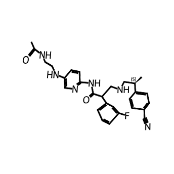 CC(=O)NCCNc1ccc(NC(=O)C(CNC[C@@H](C)c2ccc(C#N)cc2)c2cccc(F)c2)nc1